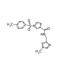 Cc1ccc(S(=O)(=O)n2ccc(C(=O)NCc3ncc(C)s3)c2)cc1